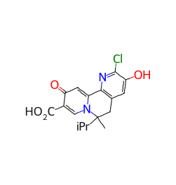 CC(C)C1(C)Cc2cc(O)c(Cl)nc2-c2cc(=O)c(C(=O)O)cn21